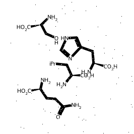 CC(C)C[C@H](N)C(=O)O.NC(=O)CC[C@H](N)C(=O)O.N[C@@H](CO)C(=O)O.N[C@@H](Cc1c[nH]cn1)C(=O)O